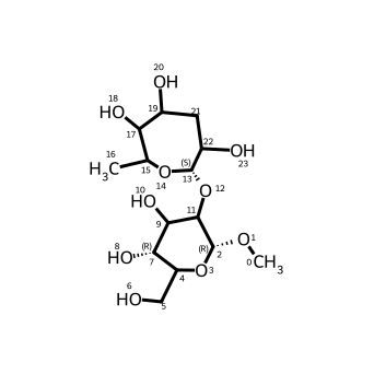 CO[C@@H]1OC(CO)[C@H](O)C(O)C1O[C@@H]1OC(C)C(O)C(O)CC1O